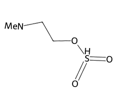 CNCCO[SH](=O)=O